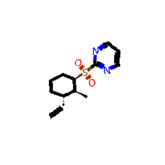 C=C[C@@H]1CCC[C@@H](S(=O)(=O)c2ncccn2)[C@H]1C